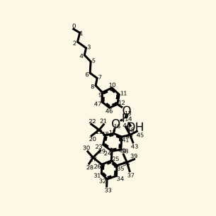 CCCCCCCCCc1ccc(OP(O)Oc2c(C(C)(C)C)cc(-c3c(C(C)(C)C)cc(C)cc3C(C)(C)C)cc2C(C)(C)C)cc1